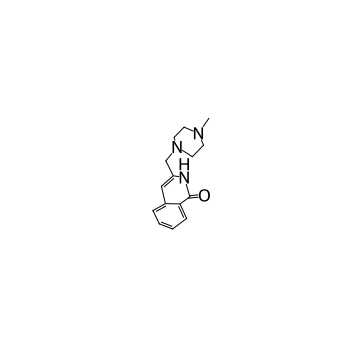 CN1CCN(Cc2cc3ccccc3c(=O)[nH]2)CC1